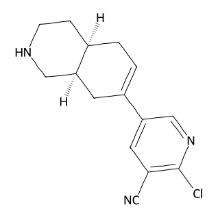 N#Cc1cc(C2=CC[C@@H]3CCNC[C@@H]3C2)cnc1Cl